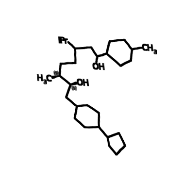 CC1CCC(C(O)CC(CC[C@H](C)[C@@H](O)CC2CCC(C3CCCC3)CC2)C(C)C)CC1